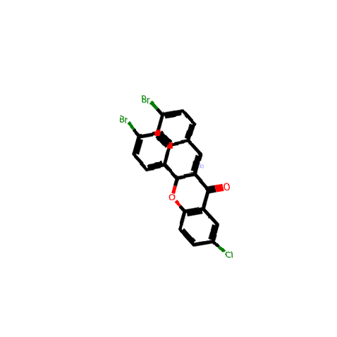 O=C1/C(=C/c2ccc(Br)cc2)C(c2ccc(Br)cc2)Oc2ccc(Cl)cc21